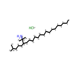 CCCCCCCCCCCCCCCCC(CCCC(C)C)C(C)(C)N.Cl